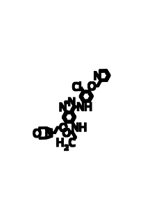 C=CC(=O)Nc1cc2c(Nc3ccc(OCc4ccccn4)c(Cl)c3)ncnc2cc1OCCN1C2CCC1COC2